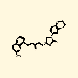 COc1ccc2nccc(CCC(=O)CC[C@@H]3CN(c4ccc5c(c4)OCCO5)C(=O)O3)c2n1